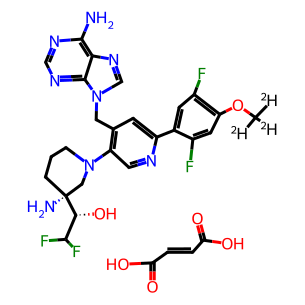 O=C(O)/C=C/C(=O)O.[2H]C([2H])([2H])Oc1cc(F)c(-c2cc(Cn3cnc4c(N)ncnc43)c(N3CCC[C@](N)([C@H](O)C(F)F)C3)cn2)cc1F